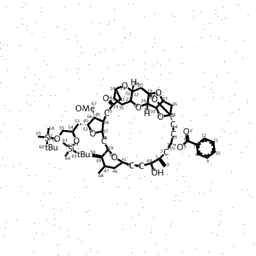 C=C1C[C@@H](OC(=O)c2ccccc2)CC[C@@]23CC4OC5C(O2)[C@H]2OC(CCC2O[C@H]5C4O3)CC(=O)CC2C(CC3OC(CCC1O)CC(C)C3=C)O[C@H](CC(CO[Si](C)(C)C(C)(C)C)O[Si](C)(C)C(C)(C)C)[C@@H]2OC